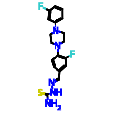 NC(=S)N/N=C/c1ccc(N2CCN(c3cccc(F)c3)CC2)c(F)c1